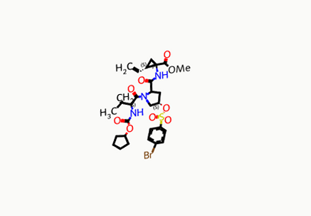 C=C[C@@H]1C[C@]1(NC(=O)C1C[C@H](OS(=O)(=O)c2ccc(Br)cc2)CN1C(=O)[C@@H](NC(=O)OC1CCCC1)C(=C)C)C(=O)OC